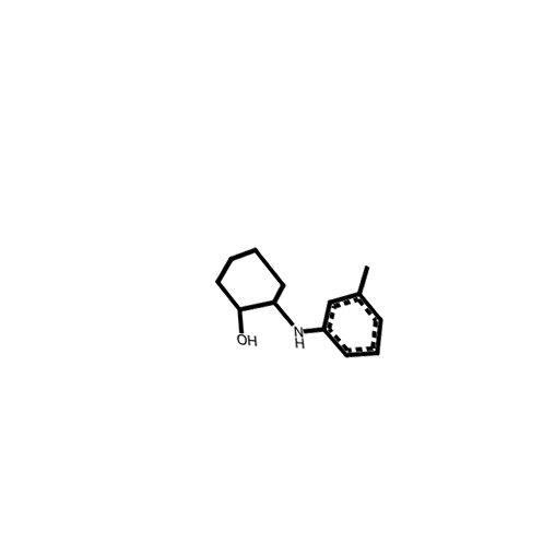 Cc1cccc(NC2CCCCC2O)c1